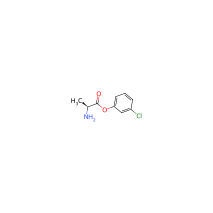 C[C@H](N)C(=O)Oc1cccc(Cl)c1